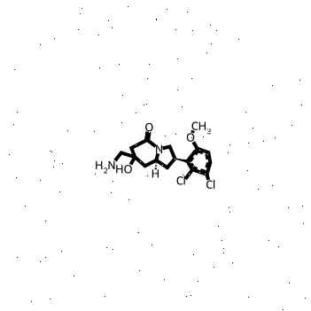 COc1ccc(Cl)c(Cl)c1[C@H]1C[C@H]2CC(O)(CN)CC(=O)N2C1